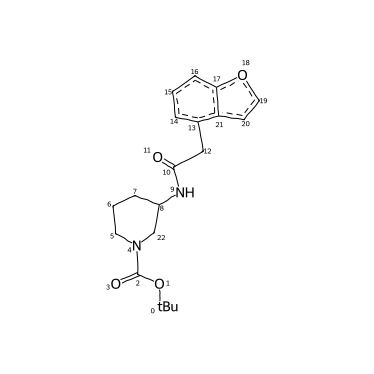 CC(C)(C)OC(=O)N1CCCC(NC(=O)Cc2cccc3occc23)C1